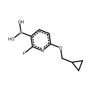 OB(O)c1ccc(OCC2CC2)nc1F